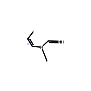 CN(C=N)/C=C\I